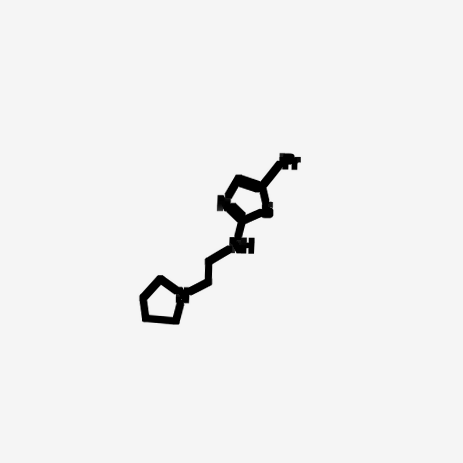 CC(C)c1cnc(NCCN2CCCC2)s1